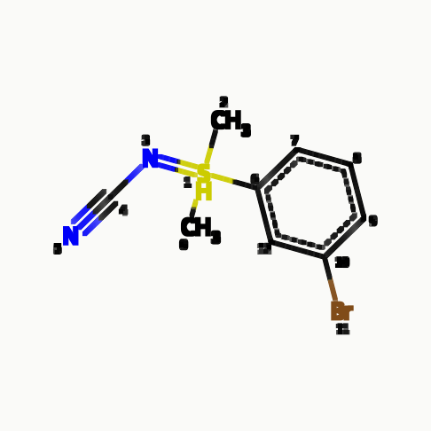 C[SH](C)(=NC#N)c1cccc(Br)c1